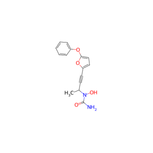 CC(C#Cc1ccc(Oc2ccccc2)o1)N(O)C(N)=O